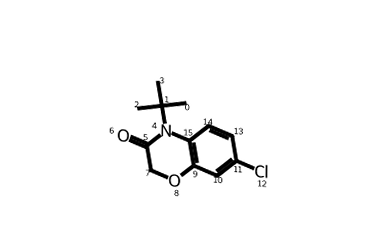 CC(C)(C)N1C(=O)COc2cc(Cl)ccc21